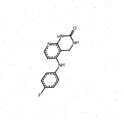 O=C1NCc2c(Nc3ccc(F)cc3)ccnc2N1